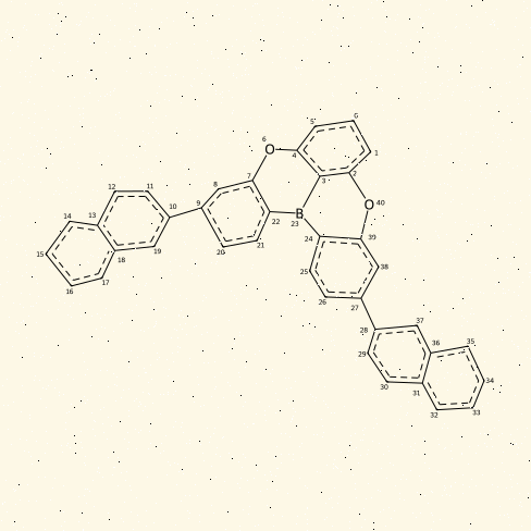 c1cc2c3c(c1)Oc1cc(-c4ccc5ccccc5c4)ccc1B3c1ccc(-c3ccc4ccccc4c3)cc1O2